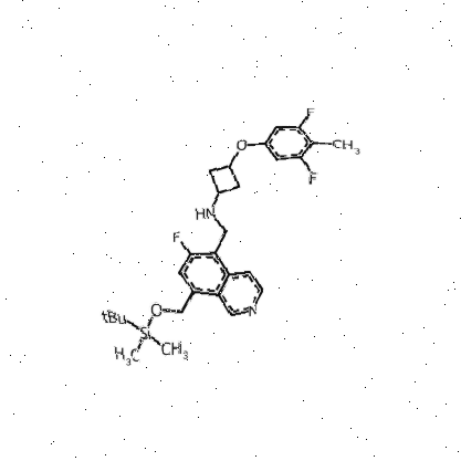 Cc1c(F)cc(OC2CC(NCc3c(F)cc(CO[Si](C)(C)C(C)(C)C)c4cnccc34)C2)cc1F